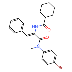 CN(C(=O)/C(=C/c1ccccc1)NC(=O)C1CCCCC1)c1ccc(Br)cc1